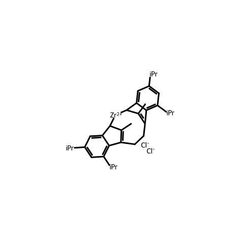 CC1=C2CCC3=C(C)[CH]([Zr+2][CH]1c1cc(C(C)C)cc(C(C)C)c12)c1cc(C(C)C)cc(C(C)C)c13.[Cl-].[Cl-]